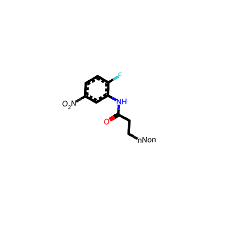 CCCCCCCCCCCC(=O)Nc1cc([N+](=O)[O-])ccc1F